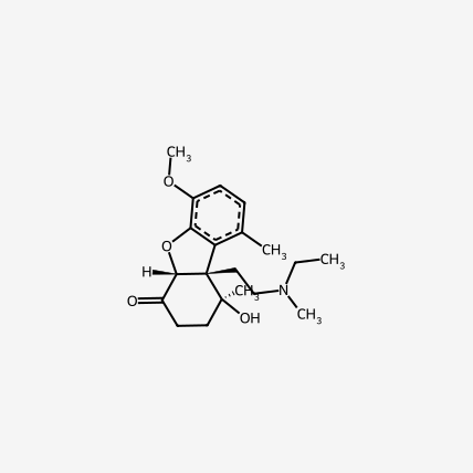 CCN(C)CC[C@]12c3c(C)ccc(OC)c3O[C@H]1C(=O)CC[C@]2(C)O